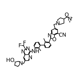 Cc1c(Nc2nc(C(F)F)nc3cc(CN4CC[C@H](O)C4)cnc23)cccc1-c1cccc(-c2nc3cc(CN4CCC(C(=O)N(C)C)CC4)cc(C#N)c3o2)c1C